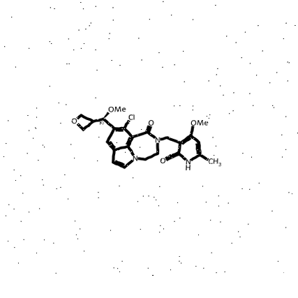 COc1cc(C)[nH]c(=O)c1CN1CCn2ccc3cc([C@H](OC)C4COC4)c(Cl)c(c32)C1=O